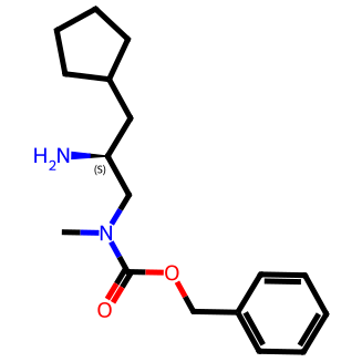 CN(C[C@@H](N)CC1CCCC1)C(=O)OCc1ccccc1